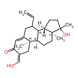 C=CC1CC2=CC(=O)C(=CO)C[C@]2(C)[C@@H]2CC[C@@]3(C)[C@@H](CCC3(C)O)[C@H]12